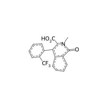 Cn1c(C(=O)O)c(-c2ccccc2C(F)(F)F)c2ccccc2c1=O